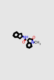 CN1C(=O)C[C@@H](C(=O)NC2Cc3ccccc3C2)c2ccccc21